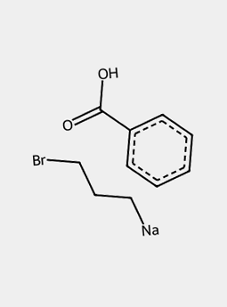 O=C(O)c1ccccc1.[Na][CH2]CCBr